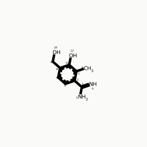 Cc1c(C(=N)N)ccc(CO)c1O